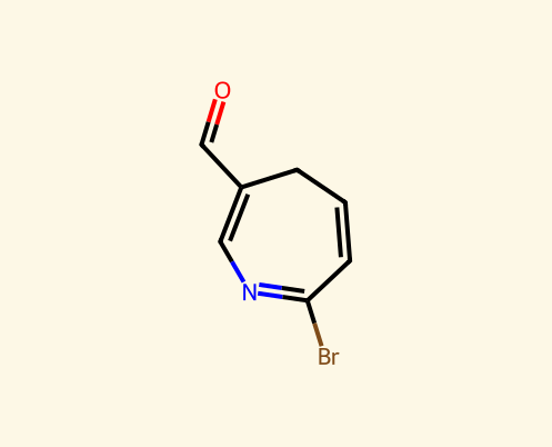 O=CC1=CN=C(Br)C=CC1